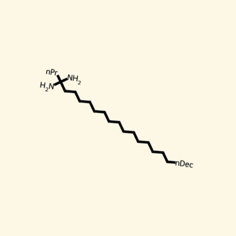 CCCCCCCCCCCCCCCCCCCCCCCCCC(N)(N)CCC